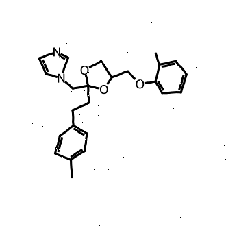 Cc1ccc(CCC2(Cn3ccnc3)OCC(COc3ccccc3C)O2)cc1